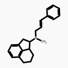 CN(C/C=C/c1ccccc1)C1Cc2cccc3c2C1CCC3